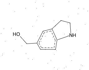 OCc1ccc2c(c1)CCN2